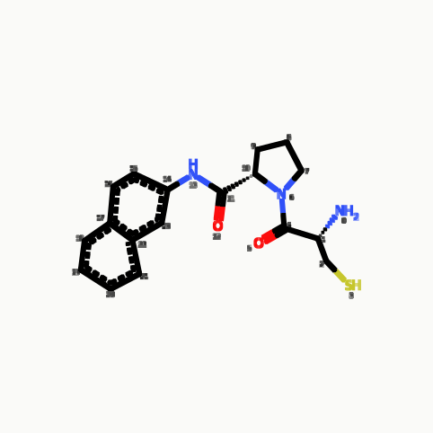 N[C@H](CS)C(=O)N1CCC[C@H]1C(=O)Nc1ccc2ccccc2c1